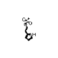 CS(=O)(=O)OCCc1ccc[nH]1